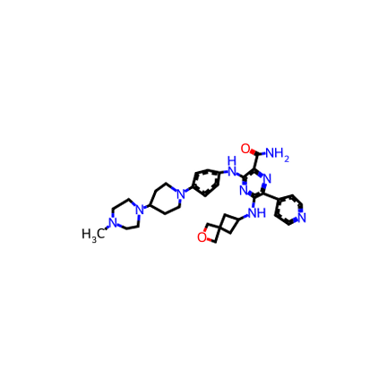 CN1CCN(C2CCN(c3ccc(Nc4nc(NC5CC6(COC6)C5)c(-c5ccncc5)nc4C(N)=O)cc3)CC2)CC1